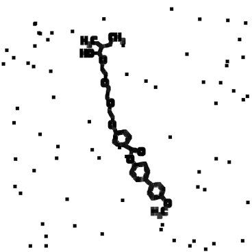 CCC(C)C(O)OCCOCCOCCOc1ccc(C(=O)Oc2ccc(-c3ccc(OC)cc3)cc2)cc1